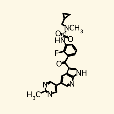 Cc1ncc(-c2cnc3[nH]cc(C(=O)c4cccc(NS(=O)(=O)N(C)CC5CC5)c4F)c3c2)cn1